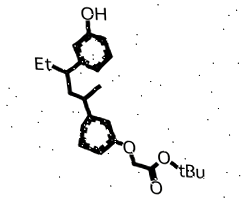 CCC(CC(C)c1cccc(OCC(=O)OC(C)(C)C)c1)c1cccc(O)c1